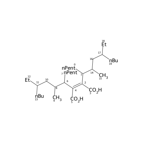 CCCCCC(C(C(=O)O)=C(C(=O)O)C(CCCCC)C(C)CC(CC)CCCC)C(C)CC(CC)CCCC